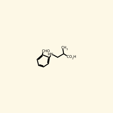 CC(CNc1ccccc1C=O)C(=O)O